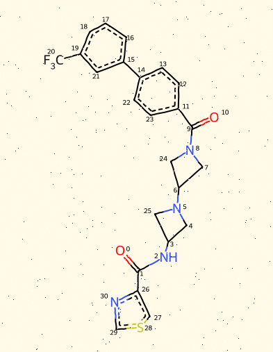 O=C(NC1CN(C2CN(C(=O)c3ccc(-c4cccc(C(F)(F)F)c4)cc3)C2)C1)c1cscn1